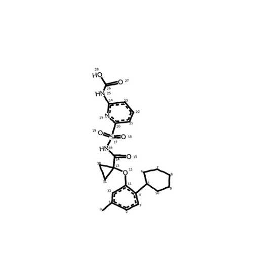 Cc1ccc(C2CCCCC2)c(OC2(C(=O)NS(=O)(=O)c3cccc(NC(=O)O)n3)CC2)c1